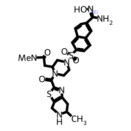 CNC(=O)CC1CN(S(=O)(=O)c2ccc3cc(/C(N)=N\O)ccc3c2)CCN1C(=O)c1nc2c(s1)CNC(C)C2